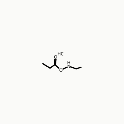 CCNOC(=O)CC.Cl